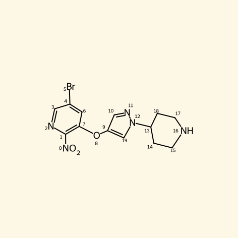 O=[N+]([O-])c1ncc(Br)cc1Oc1cnn(C2CCNCC2)c1